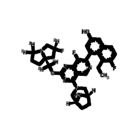 [2H]C1([2H])CC[C@@]2(C([2H])([2H])Oc3nc(N4C[C@H]5CC[C@@H](C4)N5)c4cnc(-c5cc(O)cc6ccc(F)c(CC)c56)c(F)c4n3)C[C@@]([2H])(F)CN12